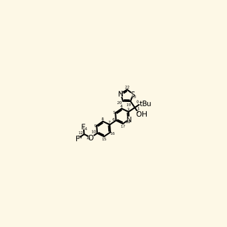 CC(C)(C)C(O)(c1ccc(-c2ccc(OC(F)F)cc2)cn1)c1cncs1